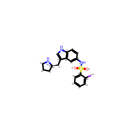 O=S(=O)(Nc1ccc2[nH]cc(C[C@H]3CCCN3)c2c1)c1ccccc1I